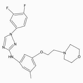 Cc1cc(Nc2ncn(-c3ccc(F)c(F)c3)n2)cc(OCCN2CCOCC2)c1